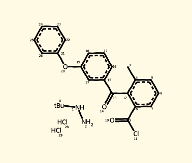 CC(C)(C)NN.Cc1cccc(C(=O)Cl)c1C(=O)c1cccc(Oc2ccccc2)c1.Cl.Cl